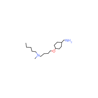 CCCCCN(C)CCCCOC1CCC(CN)CC1